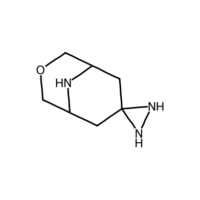 C1OCC2CC3(CC1N2)NN3